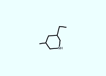 CCC1CNCC(C)C1